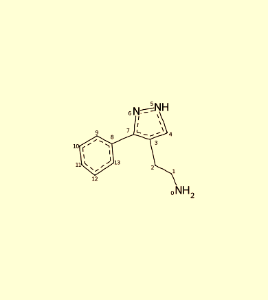 NCCc1c[nH]nc1-c1ccccc1